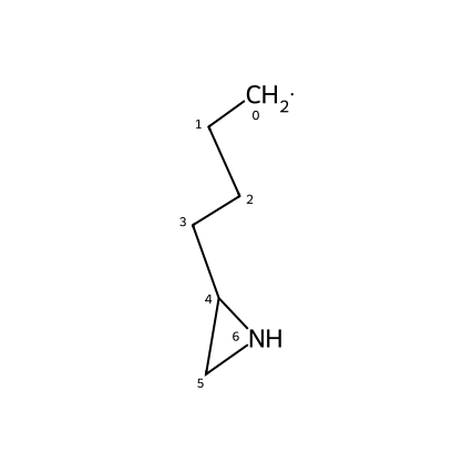 [CH2]CCCC1CN1